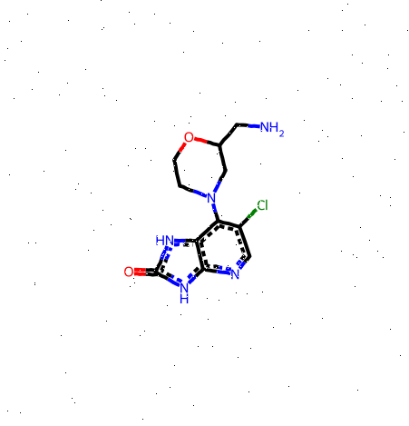 NCC1CN(c2c(Cl)cnc3[nH]c(=O)[nH]c23)CCO1